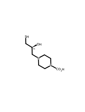 O=C(O)N1CCN(C[C@H](O)CS)CC1